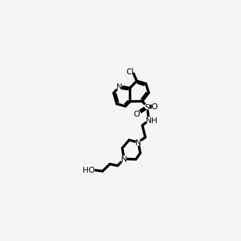 O=S(=O)(NCCN1CCN(CCCO)CC1)c1ccc(Cl)c2ncccc12